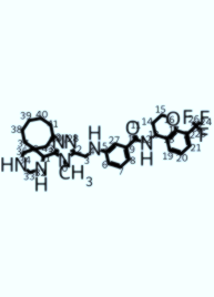 Cn1c(CNc2cccc(C(=O)N[C@H]3CCOc4c3cccc4C(F)(F)F)c2)nnc1C1NCNCC12CCCCCCC2